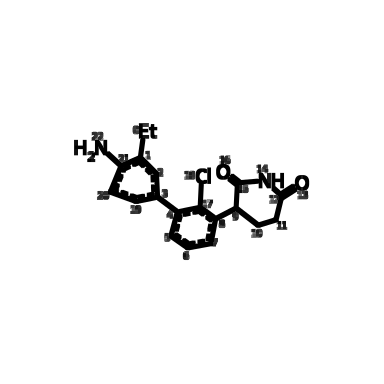 CCc1cc(-c2cccc(C3CCC(=O)NC3=O)c2Cl)ccc1N